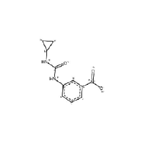 O=C(Nc1cccc([N+](=O)[O-])c1)NC1CC1